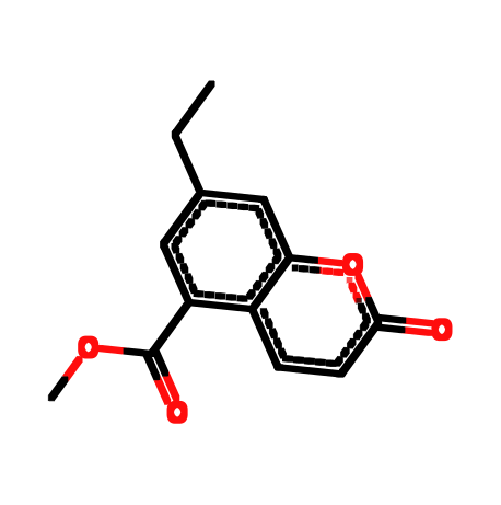 CCc1cc(C(=O)OC)c2ccc(=O)oc2c1